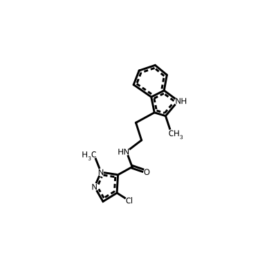 Cc1[nH]c2ccccc2c1CCNC(=O)c1c(Cl)cnn1C